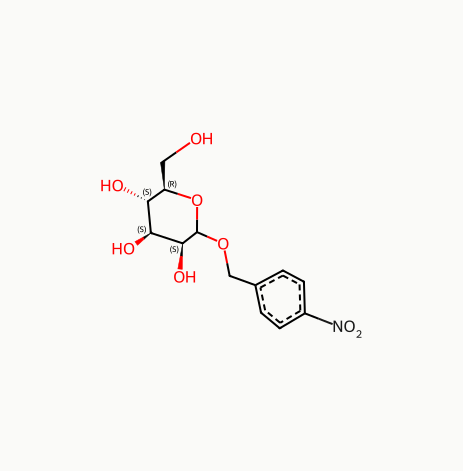 O=[N+]([O-])c1ccc(COC2O[C@H](CO)[C@@H](O)[C@H](O)[C@@H]2O)cc1